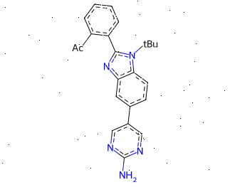 CC(=O)c1ccccc1-c1nc2cc(-c3cnc(N)nc3)ccc2n1C(C)(C)C